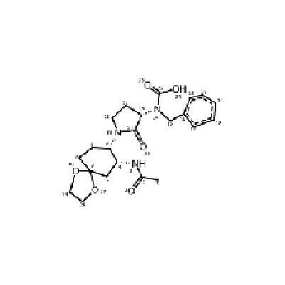 CC(=O)N[C@@H]1CC2(CC[C@@H]1N1CC[C@H](N(Cc3ccccc3)C(=O)O)C1=O)OCCO2